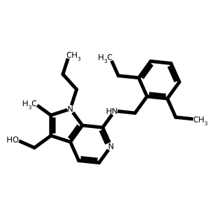 CCCn1c(C)c(CO)c2ccnc(NCc3c(CC)cccc3CC)c21